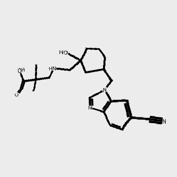 CC(C)(CNCC1(O)CCCC(Cn2cnc3ccc(C#N)cc32)C1)C(=O)O